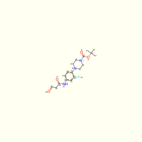 CC(C)(C)OC(=O)N1CCN(c2ccc(NC(=O)CC=O)cc2F)CC1